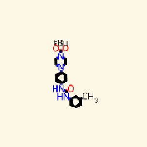 Cc1cccc(NC(=O)Nc2ccc(N3CCN(C(=O)OC(C)(C)C)CC3)cc2)c1